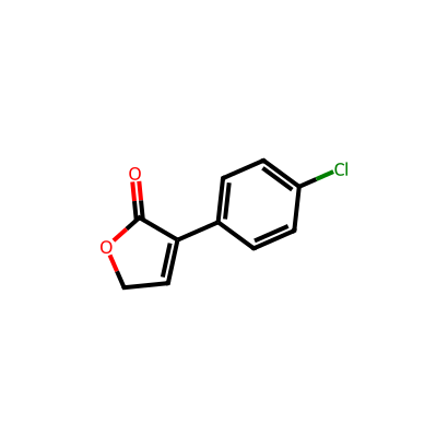 O=C1OCC=C1c1ccc(Cl)cc1